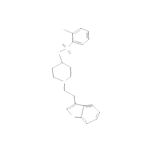 O=S(=O)(NC1CCN(CCc2coc3ccccc23)CC1)c1ccccc1Br